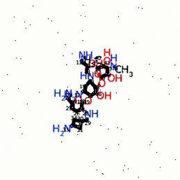 CN[C@@H]1[C@@H](O)[C@@H](O[C@H]2[C@H](NCC(O)CN)C[C@H](N)C(O[C@H]3OC(CN)=CC[C@H]3NCC3CC(N)C3)[C@@H]2O)OC[C@]1(C)O